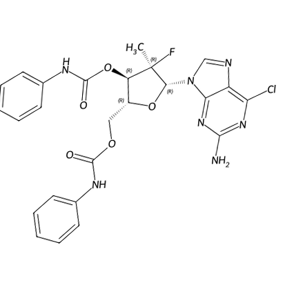 C[C@@]1(F)[C@H](OC(=O)Nc2ccccc2)[C@@H](COC(=O)Nc2ccccc2)O[C@H]1n1cnc2c(Cl)nc(N)nc21